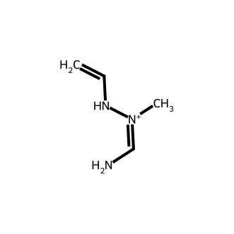 C=CN/[N+](C)=C\N